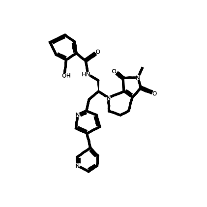 CN1C(=O)C2=C(C1=O)N([C@H](CNC(=O)c1ccccc1O)Cc1ccc(-c3cccnc3)cn1)CCC2